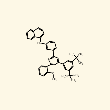 COc1ccccc1-c1cc(-c2cc(C(C)(C)C)cc(C(C)(C)C)c2)cc(-c2cccc(Nc3cccc4ccccc34)c2)n1